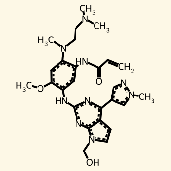 C=CC(=O)Nc1cc(Nc2nc(-c3cnn(C)c3)c3ccn(CO)c3n2)c(OC)cc1N(C)CCN(C)C